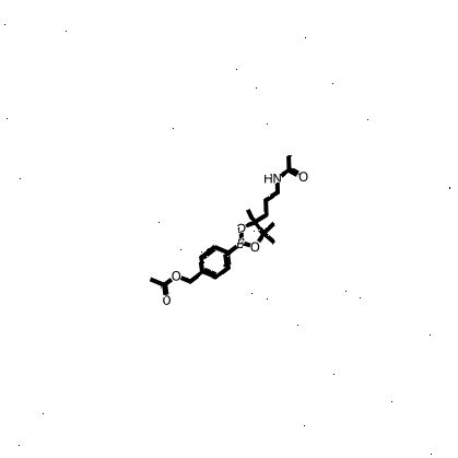 CC(=O)NCCCC1(C)OB(c2ccc(COC(C)=O)cc2)OC1(C)C